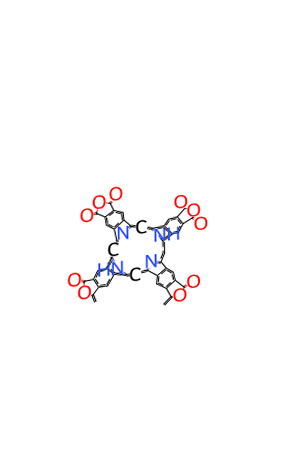 C=C1OC(=O)c2cc3c(cc21)-c1cc2[nH]c(cc4nc(cc5[nH]c(cc-3n1)c1cc3c(cc51)C(=O)OC3=O)-c1cc3c(cc1-4)C(=O)OC3=O)c1cc3c(cc21)C(=C)OC3=O